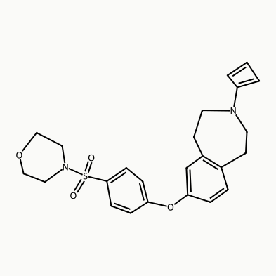 O=S(=O)(c1ccc(Oc2ccc3c(c2)CCN(C2=CC=C2)CC3)cc1)N1CCOCC1